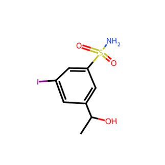 CC(O)c1cc(I)cc(S(N)(=O)=O)c1